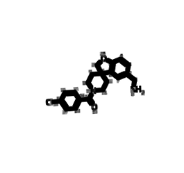 NCc1ccc2c(c1)C1(CCN(C(=O)c3ccc(Cl)cc3)CC1)CO2